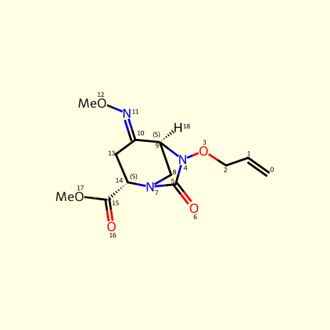 C=CCON1C(=O)N2C[C@H]1C(=NOC)C[C@H]2C(=O)OC